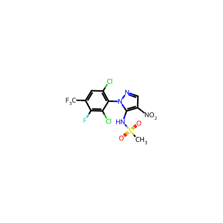 CS(=O)(=O)Nc1c([N+](=O)[O-])cnn1-c1c(Cl)cc(C(F)(F)F)c(F)c1Cl